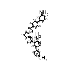 Cn1cc(-c2cnc(N)c(C(=O)N[C@H]3CCC[C@@H]3OCc3ccc(-c4cccc(N)c4)cc3)c2)cn1